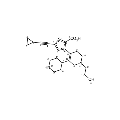 O=C(O)c1sc(C#CC2CC2)cc1C1=C(C2CCNCC2)CN(CCO)CC1